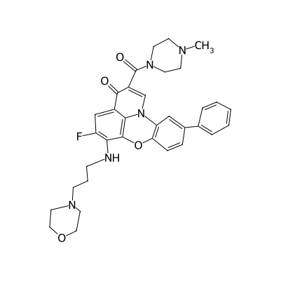 CN1CCN(C(=O)c2cn3c4c(c(NCCCN5CCOCC5)c(F)cc4c2=O)Oc2ccc(-c4ccccc4)cc2-3)CC1